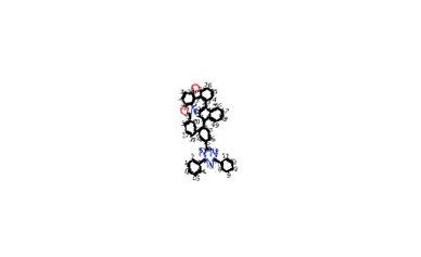 c1ccc(-c2nc(-c3ccccc3)nc(-c3ccc(-c4ccc(-c5cccc6oc7ccc8oc(-c9ccccc9)nc8c7c56)c5ccccc45)cc3)n2)cc1